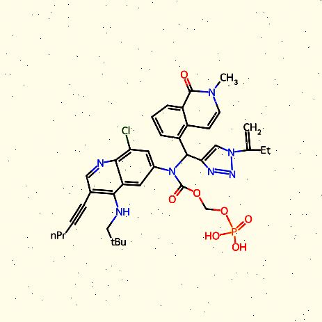 C=C(CC)n1cc(C(c2cccc3c(=O)n(C)ccc23)N(C(=O)OCOP(=O)(O)O)c2cc(Cl)c3ncc(C#CCCC)c(NCC(C)(C)C)c3c2)nn1